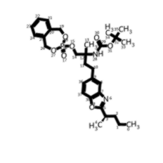 CCC[C@@H](C)c1nc2cc(CCC(C)(COP3(=O)OCc4ccccc4CO3)NC(=O)OC(C)(C)C)ccc2o1